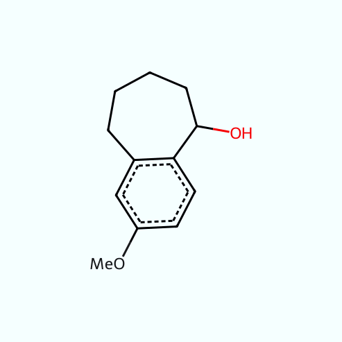 COc1ccc2c(c1)CCCCC2O